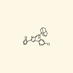 Clc1ccc(C2=CC(c3ccc[nH]3)=NC2=CNC23CC4CC(CC(C4)C2)C3)cc1